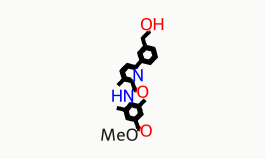 COC(=O)c1cc(C)c(NC(=O)c2nc(-c3cccc(CCO)c3)ccc2C)c(C)c1